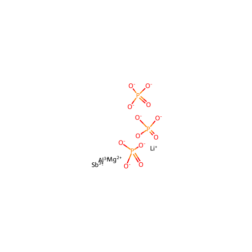 O=P([O-])([O-])[O-].O=P([O-])([O-])[O-].O=P([O-])([O-])[O-].[Al+3].[Li+].[Mg+2].[Sb+3]